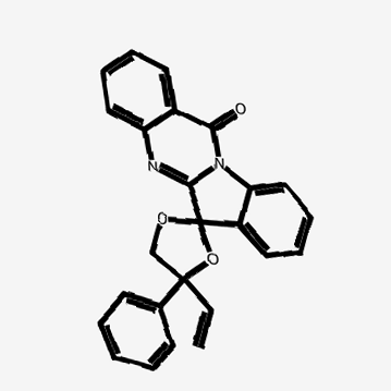 C=CC1(c2ccccc2)COC2(O1)c1ccccc1-n1c2nc2ccccc2c1=O